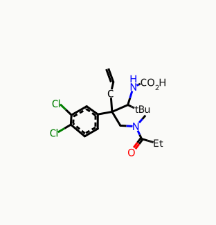 C=CCC(CN(C)C(=O)CC)(c1ccc(Cl)c(Cl)c1)C(NC(=O)O)C(C)(C)C